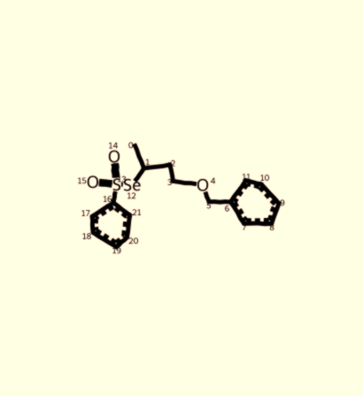 CC(CCOCc1ccccc1)[Se]S(=O)(=O)c1ccccc1